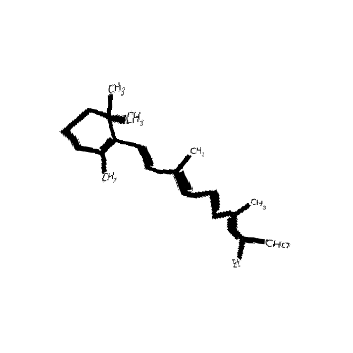 CC\C(C=O)=C(C)/C=C/C=C(C)/C=C/C1=C(C)CCCC1(C)C